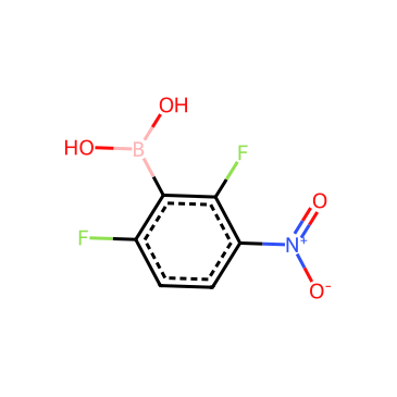 O=[N+]([O-])c1ccc(F)c(B(O)O)c1F